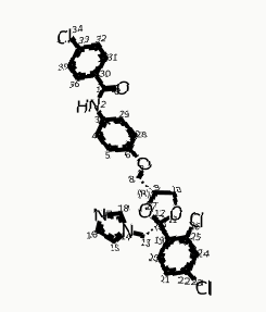 O=C(Nc1ccc(OC[C@@H]2CO[C@@](Cn3ccnc3)(c3ccc(Cl)cc3Cl)O2)cc1)c1ccc(Cl)cc1